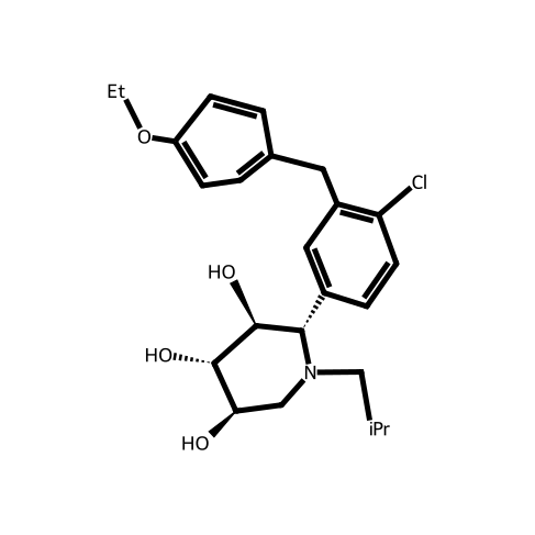 CCOc1ccc(Cc2cc([C@H]3[C@H](O)[C@@H](O)[C@H](O)CN3CC(C)C)ccc2Cl)cc1